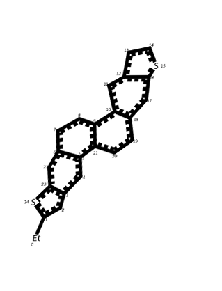 CCc1cc2cc3c(ccc4c5cc6ccsc6cc5ccc34)cc2s1